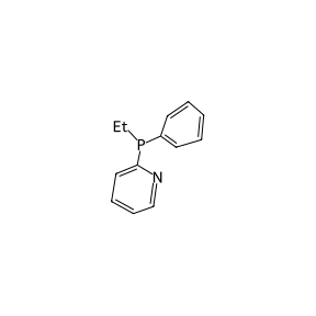 CCP(c1ccccc1)c1ccccn1